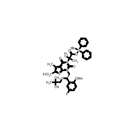 CCOC(=O)c1sc2c(c1C)c(=O)n(C(C)(C)C(=O)O[Si](c1ccccc1)(c1ccccc1)C(C)(C)C)c(=O)n2C[C@H](OCC(C)(C)C#N)c1cc(F)ccc1OC